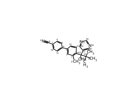 Cc1cc(-c2ccc(C#N)cc2)ccc1C(O)(c1cncnc1)C(C)(C)C